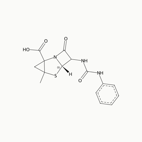 CC12CC1(C(=O)O)N1C(=O)C(NC(=O)Nc3ccccc3)[C@@H]1S2